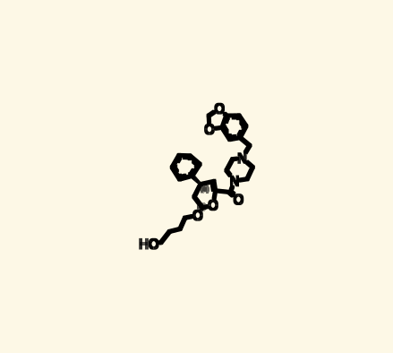 O=C(C1=C[C@H](c2ccccc2)C[C@H](OCCCCO)O1)N1CCN(Cc2ccc3c(c2)OCO3)CC1